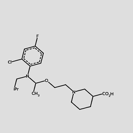 CC(C)CN(c1ccc(F)cc1Cl)C(C)OCCN1CCCC(C(=O)O)C1